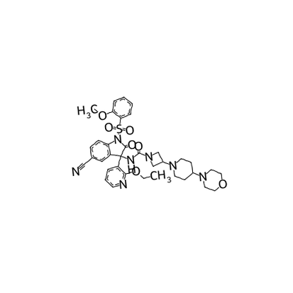 CCOc1ncccc1C1(NC(=O)N2CC(N3CCC(N4CCOCC4)CC3)C2)C(=O)N(S(=O)(=O)c2ccccc2OC)c2ccc(C#N)cc21